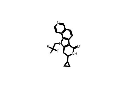 O=C1NC(C2CC2)Cc2c1c1ccc3cnccc3c1n2CC(F)(F)F